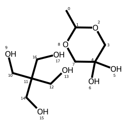 CC1OCC(O)(O)CO1.OCC(CO)(CO)CO